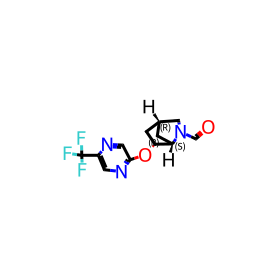 O=CN1C[C@H]2C[C@@H](Oc3cnc(C(F)(F)F)cn3)[C@@H]1C2